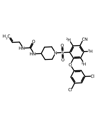 [2H]c1c([2H])c(Oc2cc(Cl)cc(Cl)c2)c(S(=O)(=O)N2CCC(NC(=O)NCC=C)CC2)c([2H])c1C#N